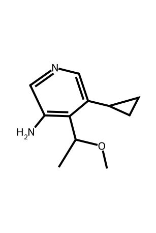 COC(C)c1c(N)cncc1C1CC1